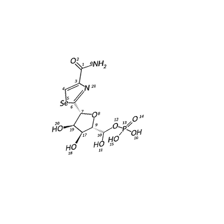 NC(=O)c1c[se]c([C@@H]2O[C@H](C(O)OP(=O)(O)O)[C@@H](O)[C@H]2O)n1